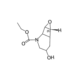 CCOC(=O)N1CC(O)CC2C1C1O[C@H]21